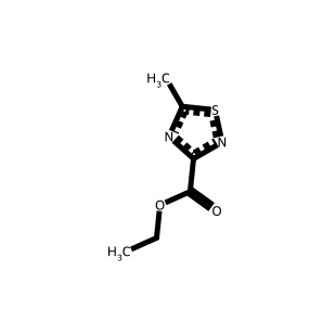 CCOC(=O)c1nsc(C)n1